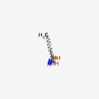 CCCCCCCCCCCCCC=CC(O)C(CO)N=[N+]=[N-]